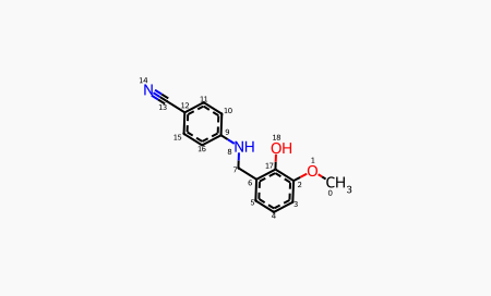 COc1cccc(CNc2ccc(C#N)cc2)c1O